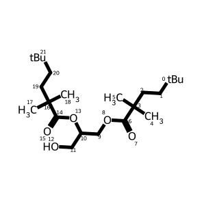 CC(C)(C)CCC(C)(C)C(=O)OCC(CO)OC(=O)C(C)(C)CCC(C)(C)C